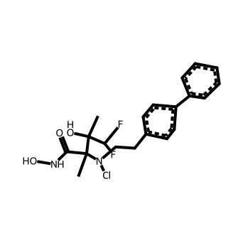 CC(O)(C(F)F)C(C)(C(=O)NO)N(Cl)CCc1ccc(-c2ccccc2)cc1